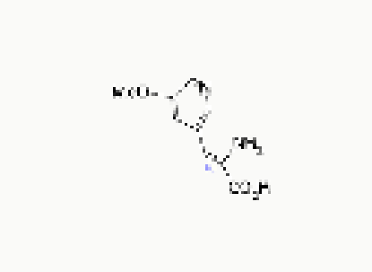 COc1cncc(/C=C(\N)C(=O)O)c1